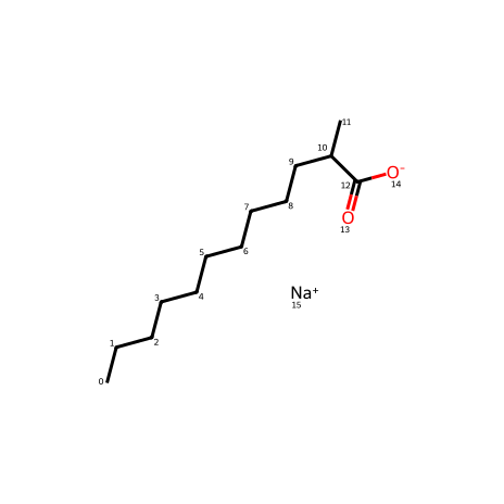 CCCCCCCCCCC(C)C(=O)[O-].[Na+]